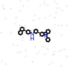 c1ccc(-n2c3ccccc3c3cc(-c4cccc(Nc5ccc(-c6cccc7ccccc67)cc5)c4)ccc32)cc1